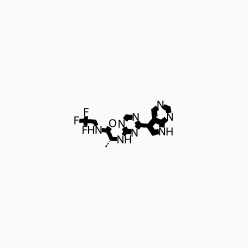 C[C@@H](Nc1ncnc(-c2c[nH]c3ncncc23)n1)C(=O)NCC(F)(F)F